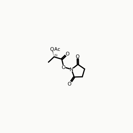 CC(=O)O[C@@H](C)C(=O)ON1C(=O)CCC1=O